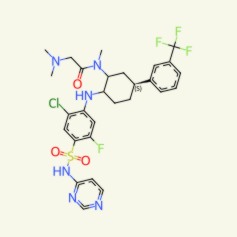 CN(C)CC(=O)N(C)C1C[C@@H](c2cccc(C(F)(F)F)c2)CCC1Nc1cc(F)c(S(=O)(=O)Nc2ccncn2)cc1Cl